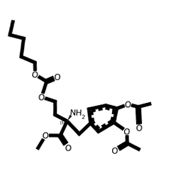 CCCCCOC(=O)OCC[C@@](N)(Cc1ccc(OC(C)=O)c(OC(C)=O)c1)C(=O)OC